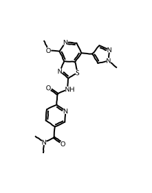 COc1ncc(-c2cnn(C)c2)c2sc(NC(=O)c3ccc(C(=O)N(C)C)cn3)nc12